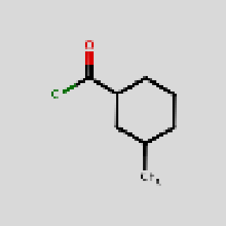 O=C(Cl)C1CCCC(C(F)(F)F)C1